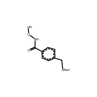 CCCCCCCCCCc1ccc(C(=O)NOCCC)cc1